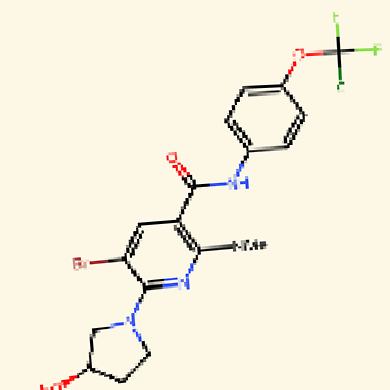 CNc1nc(N2CC[C@@H](O)C2)c(Br)cc1C(=O)Nc1ccc(OC(F)(F)Cl)cc1